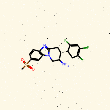 CS(=O)(=O)c1ccc2nc3n(c2c1)CC(N)[C@@H](C1CC(F)=C(F)C=C1F)C3